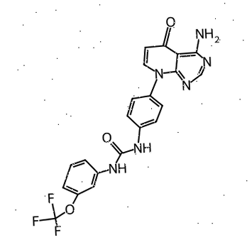 Nc1ncnc2c1c(=O)ccn2-c1ccc(NC(=O)Nc2cccc(OC(F)(F)F)c2)cc1